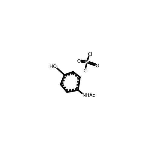 CC(=O)Nc1ccc(O)cc1.O=S(=O)(Cl)Cl